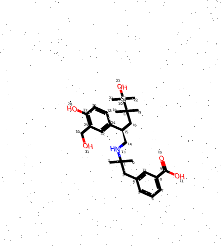 CC(C)(Cc1cccc(C(=O)O)c1)NC[C@H](CC(C)(C)[Si](C)(C)O)c1ccc(O)c(CO)c1